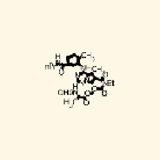 CCCNC(=O)c1ccc(C)c(Nc2ncnn3cc(C(=O)N(CC)C(=O)OCOC(=O)C(C)NC=O)c(C)c23)c1